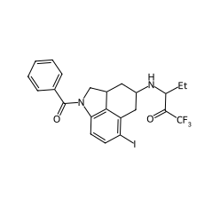 CCC(NC1Cc2c(I)ccc3c2C(C1)CN3C(=O)c1ccccc1)C(=O)C(F)(F)F